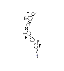 C/C=C/CCc1ccc(-c2ccc(-c3ccc(OCCC(F)(F)c4ccc(OCC)c(F)c4F)c(F)c3F)cc2)c(F)c1F